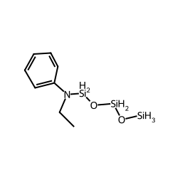 CCN([SiH2]O[SiH2]O[SiH3])c1ccccc1